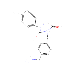 N#Cc1ccc(N2SC(=O)N(Cc3ccc(CN)cc3)C2O)cc1